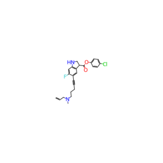 C=CCN(C)CCCC#Cc1cc2c(cc1F)NCC2C(=O)Oc1ccc(Cl)cc1